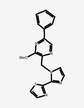 COc1nc(-c2ccccc2)cnc1Cn1ccnc1-c1nccs1